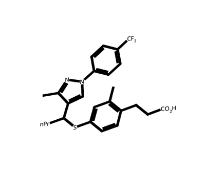 CCCC(Sc1ccc(CCC(=O)O)c(C)c1)c1cn(-c2ccc(C(F)(F)F)cc2)nc1C